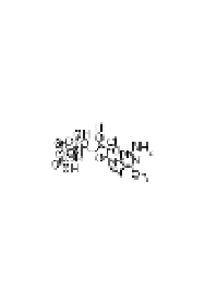 CCOc1nc(N)nc2c1ncn2[C@@H]1O[C@H](COP(=O)(O)OP(=O)(O)OP(=O)(O)O)[C@@H](O)C1(Cl)Cl